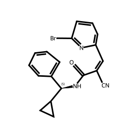 N#CC(=Cc1cccc(Br)n1)C(=O)N[C@H](c1ccccc1)C1CC1